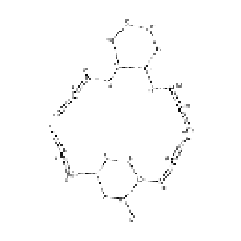 CC1CC(N=C=O)CCC1N=C=O.O=C=NCC1CCCCC1CN=C=O